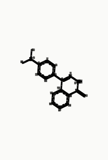 C=C1NN=C(c2ccc(N(C)C)cc2)c2ccccc21